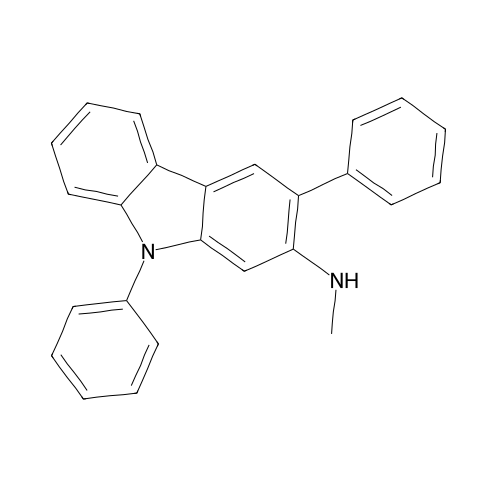 CNc1cc2c(cc1-c1ccccc1)c1ccccc1n2-c1ccccc1